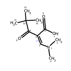 CN(C)/C=C(\C(=O)O)C(=O)C(C)(C)C